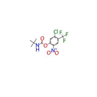 CC(C)(C)NC(=O)Oc1cc(Cl)c(C(F)(F)F)cc1[N+](=O)[O-]